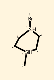 C[SiH]1CC[SiH](Br)CC1